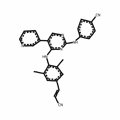 Cc1cc(/C=C/C#N)cc(C)c1Nc1nc(Nc2ccc(C#N)cc2)ncc1-c1cccnc1